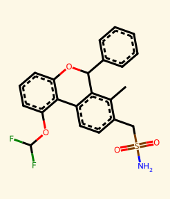 Cc1c(CS(N)(=O)=O)ccc2c1C(c1ccccc1)Oc1cccc(OC(F)F)c1-2